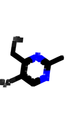 Cc1ncc(C(=O)O)c(CC(C)(C)C)n1